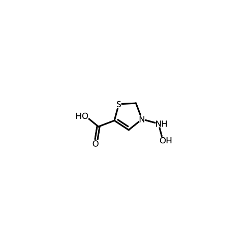 O=C(O)C1=CN(NO)CS1